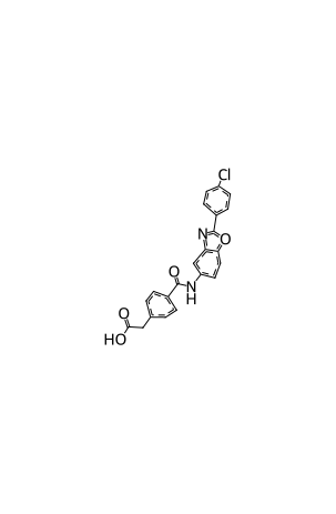 O=C(O)Cc1ccc(C(=O)Nc2ccc3oc(-c4ccc(Cl)cc4)nc3c2)cc1